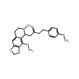 COc1ccc(CCC(=O)CC2c3c(cc4c(c3OC)OCO4)CCN2C)cc1